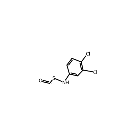 O=[C]SNc1ccc(Cl)c(Cl)c1